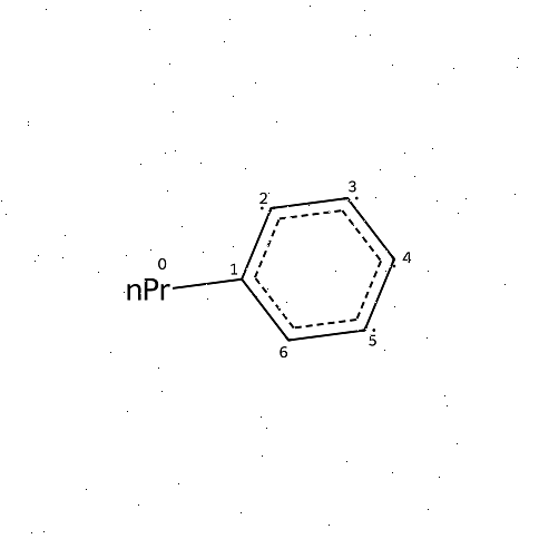 CCCc1[c][c][c][c]c1